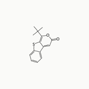 CC(C)(C)c1oc(=O)cc2c1sc1ccccc12